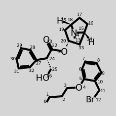 CCCCOc1ccccc1CBr.CN1[C@@H]2CC[C@H]1C[C@@H](OC(=O)[C@H](CO)c1ccccc1)C2